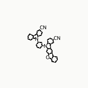 N#Cc1ccc2c(c1)c1ccccc1n2-c1cccc(-n2c3ccc(C#N)cc3c3cc4c(cc32)oc2ccccc24)c1